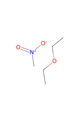 CCOCC.C[N+](=O)[O-]